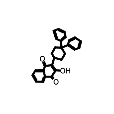 O=C1C(O)=C(C2CCC(c3ccccc3)(c3ccccc3)CC2)C(=O)c2ccccc21